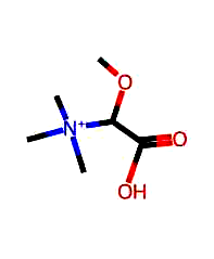 COC(C(=O)O)[N+](C)(C)C